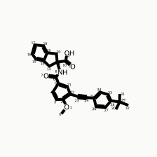 COc1ccc(C(=O)NC2(C(=O)O)Cc3ccccc3C2)cc1C#Cc1ccc(C(C)(C)C)cc1